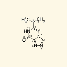 CC(C)c1cn2cnnc2c(=O)[nH]1